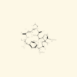 CCC(C)C(C(CC(=O)N1CCC[C@H]1[C@H](OC)[C@@H](C)C(=O)N[C@H](C)[C@@H](O)c1ccccc1)OC)C(NC(=O)[C@@H](NC)C(C)C)(C(=O)NC)C(C)C